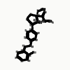 CNC(=O)[C@]1(CO)CC[C@H](c2ccc(OCc3ccccc3F)cc2)N1